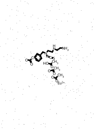 CC(=O)O.CC(=O)[O-].CC(=O)[O-].CC(=O)[O-].NCCNCCN(Cc1ccccc1)N=C=S.[Eu+3]